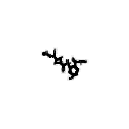 CNC(=O)c1ccc(Br)cc1NC(=O)C1CN(C(=O)OC(C)(C)C)C1